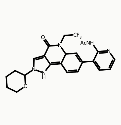 CC(=O)Nc1ncccc1C1=CC2C(=C3NN(C4CCCCO4)C=C3C(=O)N2CC(F)(F)F)C=C1